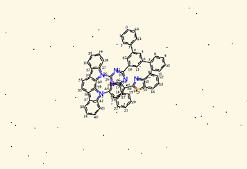 c1ccc(-c2cc(-c3ccccc3)cc(-c3nc(-c4ccccc4)nc(-n4c5ccccc5c5ccc6c7ccccc7n(-c7ccc(-c8nc9ccccc9s8)cc7)c6c54)n3)c2)cc1